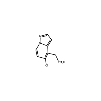 O=C(O)Cc1c(Cl)ccn2nccc12